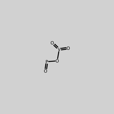 O=P[O][V](=[O])=[O]